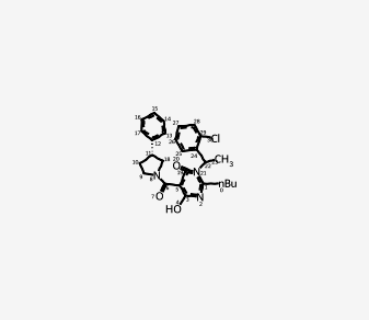 CCCCc1nc(O)c(C(=O)N2CC[C@H](c3ccccc3)C2)c(=O)n1C(C)c1ccccc1Cl